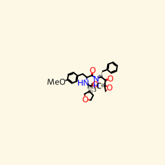 COc1ccc(CC(NC(=O)[C@@H]2CCOC2)C(=O)N[C@H](Cc2ccccc2)C(=O)[C@]2(C)CO2)cc1